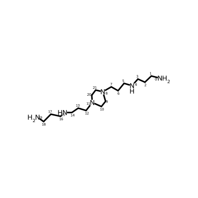 NCCCNCCCN1CCN(CCCNCCCN)CC1